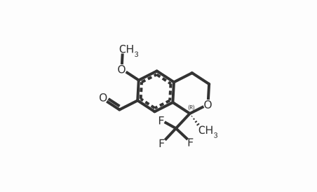 COc1cc2c(cc1C=O)[C@](C)(C(F)(F)F)OCC2